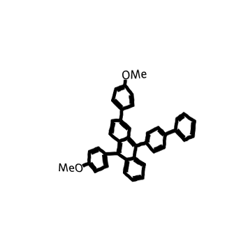 COc1ccc(-c2ccc3c(-c4ccc(OC)cc4)c4ccccc4c(-c4ccc(-c5ccccc5)cc4)c3c2)cc1